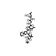 CCCC(NC(=O)[C@@H]1CC2(CN1C(=O)C(NC(=O)OC(C)(C)C)C(C)(C)C)SCCCS2)C(=O)C(=O)NCC(=O)NC(CO)CC(C)C